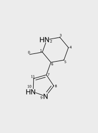 CC1NCCCC1c1cn[nH]c1